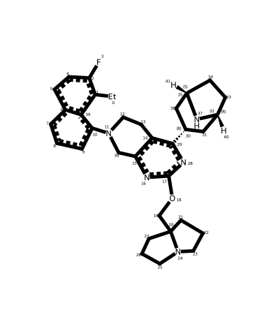 CCc1c(F)ccc2cccc(N3CCc4c(nc(OCC56CCCN5CCC6)nc4[C@H]4C[C@H]5CC[C@@H](C4)N5)C3)c12